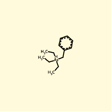 CC[AsH](CC)(CC)Cc1ccccc1